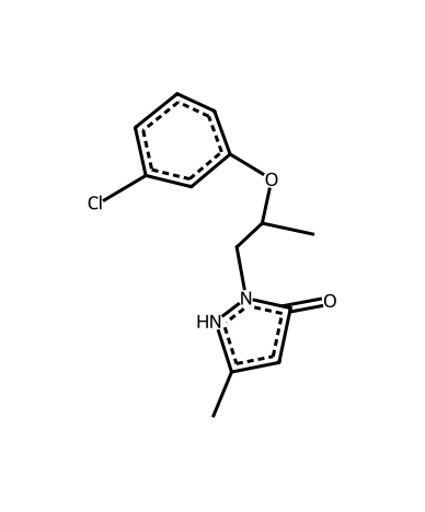 Cc1cc(=O)n(CC(C)Oc2cccc(Cl)c2)[nH]1